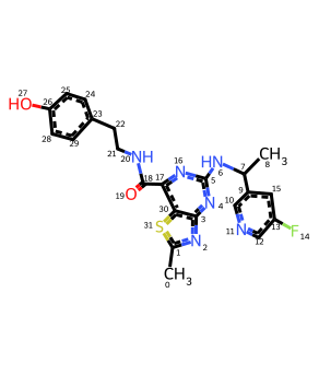 Cc1nc2nc(NC(C)c3cncc(F)c3)nc(C(=O)NCCc3ccc(O)cc3)c2s1